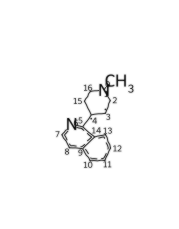 CN1C[CH][C](c2nccc3ccccc23)CC1